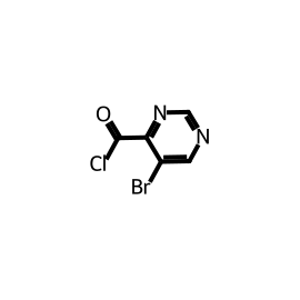 O=C(Cl)c1ncncc1Br